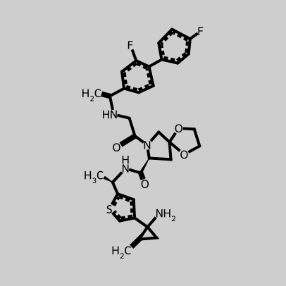 C=C(NCC(=O)N1CC2(C[C@H]1C(=O)N[C@H](C)c1cc(C3(N)CC3=C)cs1)OCCO2)c1ccc(-c2ccc(F)cc2)c(F)c1